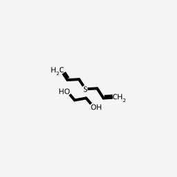 C=CCSCC=C.OCCO